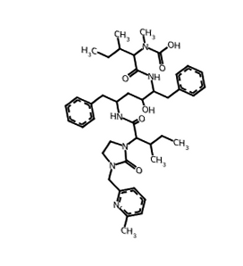 CCC(C)C(C(=O)NC(Cc1ccccc1)C(O)CC(Cc1ccccc1)NC(=O)C(C(C)CC)N1CCN(Cc2cccc(C)n2)C1=O)N(C)C(=O)O